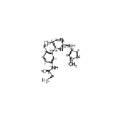 C=CC(=O)Nc1ccc(F)c(-c2nc(Nc3cnn(C)c3)ncc2Cl)c1